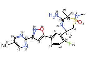 CN=[S@@]1(=O)C[C@@](C)(c2cc(-c3cc(-c4ncc(C#N)cn4)no3)ccc2F)N=C(N)C1(C)C